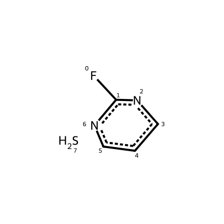 Fc1ncccn1.S